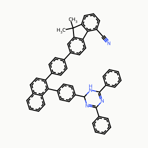 CC1(C)c2cc(-c3ccc(-c4ccc5ccccc5c4-c4ccc(C5N=C(c6ccccc6)N=C(c6ccccc6)N5)cc4)cc3)ccc2-c2c(C#N)cccc21